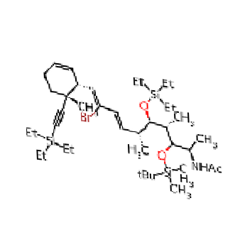 CC[Si](C#C[C@]1(C)CCC=C[C@@H]1/C=C(Br)/C=C/[C@@H](C)[C@@H](O[Si](CC)(CC)CC)[C@H](C)[C@H](O[Si](C)(C)C(C)(C)C)[C@@H](C)NC(C)=O)(CC)CC